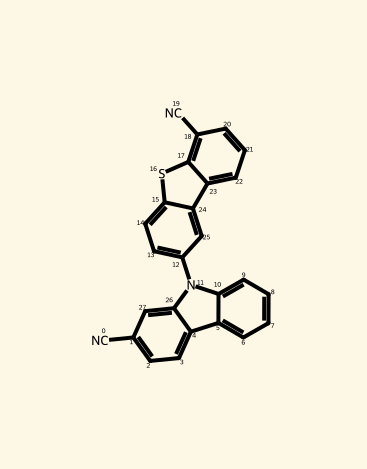 N#Cc1ccc2c3ccccc3n(-c3ccc4sc5c(C#N)cccc5c4c3)c2c1